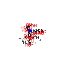 CC(=O)O.CC(=O)O.CC(=O)O.CC(=O)O.CC(=O)Oc1cc(C(=O)N[C@@H]2O[C@H](CO)[C@@H](O)[C@H](O)[C@H]2O)cc(OC(C)=O)c1OC(C)=O